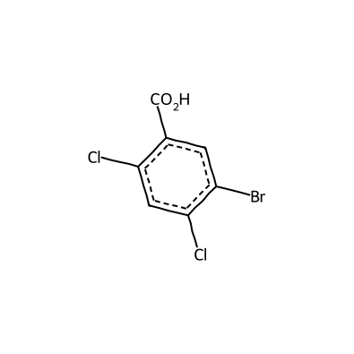 O=C(O)c1cc(Br)c(Cl)cc1Cl